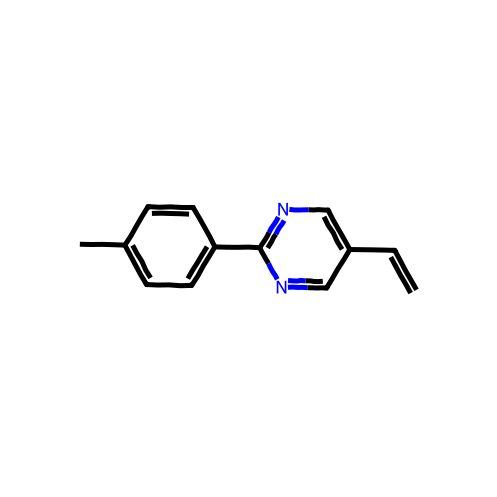 C=Cc1cnc(-c2ccc(C)cc2)nc1